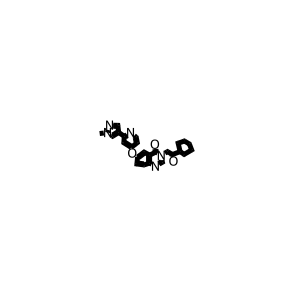 Cn1cc(-c2cc(Oc3ccc4ncn(CC(=O)C5CCCCC5)c(=O)c4c3)ccn2)cn1